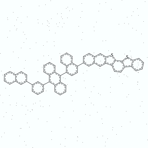 c1cc(-c2ccc3ccccc3c2)cc(-c2c3ccccc3c(-c3ccc(-c4ccc5cc6sc7c(ccc8c9ccccc9sc87)c6cc5c4)c4ccccc34)c3ccccc23)c1